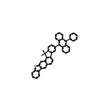 CC1(C)c2ccc(-c3c4ccccc4c(-c4ccccc4)c4ccccc34)cc2-c2ccc3cc4c(cc3c21)sc1ccccc14